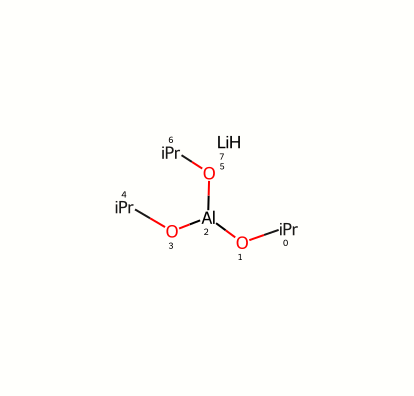 CC(C)[O][Al]([O]C(C)C)[O]C(C)C.[LiH]